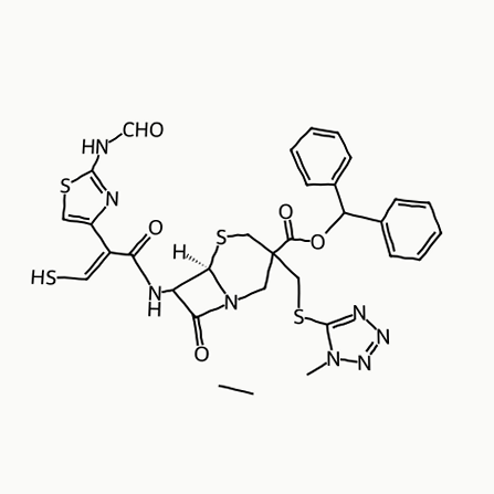 CC.Cn1nnnc1SCC1(C(=O)OC(c2ccccc2)c2ccccc2)CS[C@@H]2C(NC(=O)C(=CS)c3csc(NC=O)n3)C(=O)N2C1